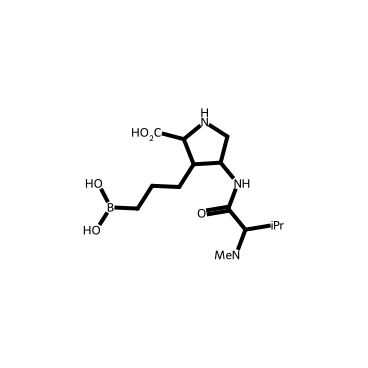 CNC(C(=O)NC1CNC(C(=O)O)C1CCCB(O)O)C(C)C